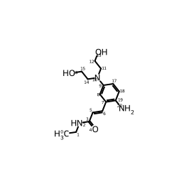 CCNC(=O)C=Cc1cc(N(CCO)CCO)ccc1N